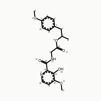 COc1ccc(CC(C)OC(=O)CNC(=O)c2nccc(OC)c2O)cc1